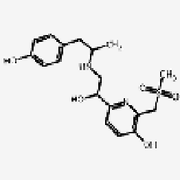 CC(Cc1ccc(O)cc1)NCC(O)c1ccc(O)c(CS(C)(=O)=O)n1